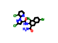 NC(=O)c1cc2cc(Br)ccc2c(Br)c1NC(=O)c1cc(Cl)nn1-c1ncccc1Cl